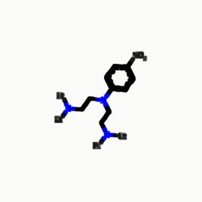 CCN(CC)CCN(CCN(CC)CC)c1ccc([N+](=O)[O-])cc1